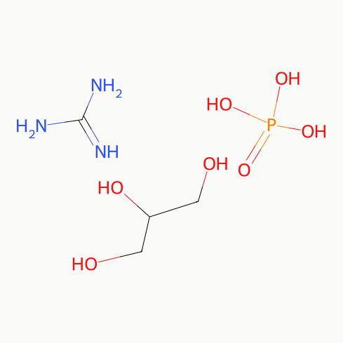 N=C(N)N.O=P(O)(O)O.OCC(O)CO